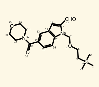 C[Si](C)(C)CCOCn1c(C=O)cc2cc(C(=O)N3CCOCC3)ccc21